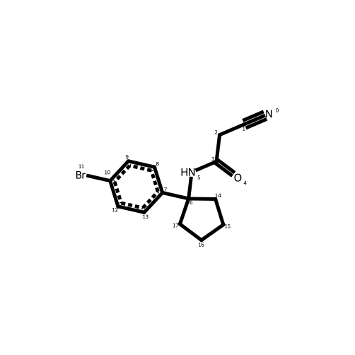 N#CCC(=O)NC1(c2ccc(Br)cc2)CCCC1